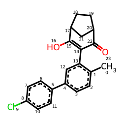 Cc1ccc(-c2ccc(Cl)cc2)cc1C1=C(O)C2CCC(C2)C1=O